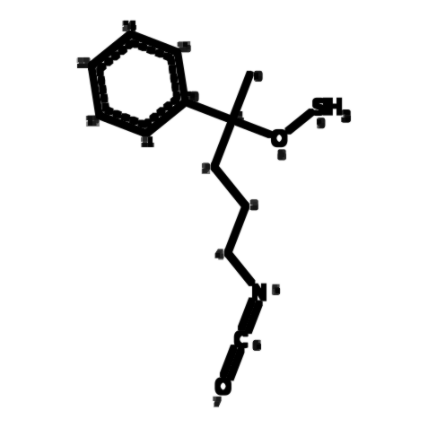 CC(CCCN=C=O)(O[SiH3])c1ccccc1